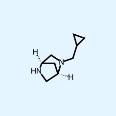 C1CC1CN1C[C@H]2C[C@@H]1CN2